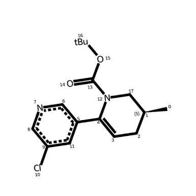 C[C@H]1CC=C(c2cncc(Cl)c2)N(C(=O)OC(C)(C)C)C1